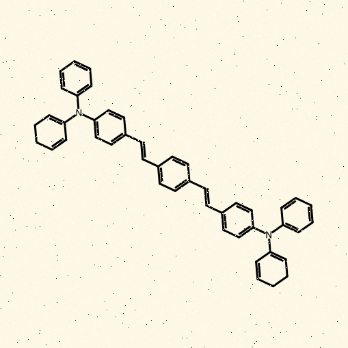 C1=CC(N(c2ccccc2)c2ccc(/C=C/c3ccc(/C=C/c4ccc(N(C5=CCCC=C5)c5ccccc5)cc4)cc3)cc2)=CCC1